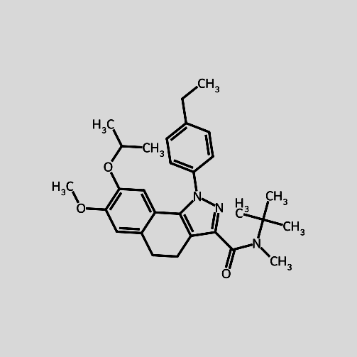 CCc1ccc(-n2nc(C(=O)N(C)C(C)(C)C)c3c2-c2cc(OC(C)C)c(OC)cc2CC3)cc1